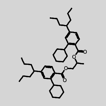 CCCC(CCC)c1ccc(C(=O)OCC(C)OC(=O)c2ccc(C(CCC)CCC)cc2C2CCCCC2)c(C2CCCCC2)c1